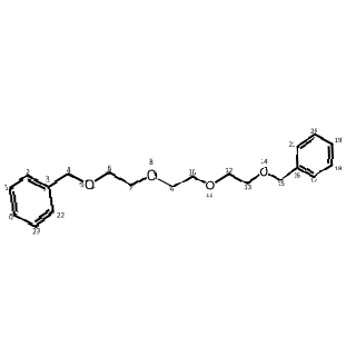 c1ccc(COCCOCCOCCOCc2ccccc2)cc1